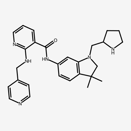 CC1(C)CN(CC2CCCN2)c2cc(NC(=O)c3cccnc3NCc3ccncc3)ccc21